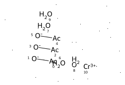 CC(=O)[O-].CC(=O)[O-].CC(=O)[O-].O.O.O.O.[Cr+3]